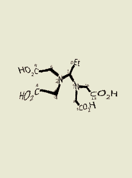 CCC(N(CC(=O)O)CC(=O)O)N(CC(=O)O)CC(=O)O